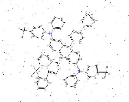 CC(C)(C)c1ccc(N(c2ccccc2)c2ccc3c(-c4ccc5c6c(cccc46)C(C)(C)c4ccccc4-5)c4cc(N(c5ccccc5)c5ccc(C(C)(C)C)cc5)ccc4c(-c4ccc(-c5ccccc5)cc4)c3c2)cc1